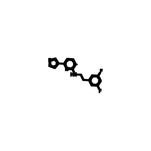 Fc1cc(F)cc(CCNc2[c]ccc(-c3ccsc3)n2)c1